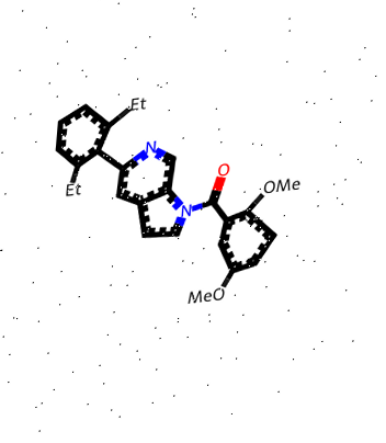 CCc1cccc(CC)c1-c1cc2ccn(C(=O)c3cc(OC)ccc3OC)c2cn1